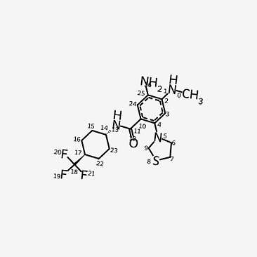 CNc1cc(N2CCSC2)c(C(=O)N[C@H]2CC[C@H](C(F)(F)F)CC2)cc1N